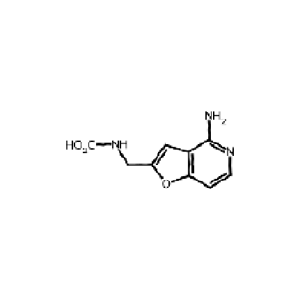 Nc1nccc2oc(CNC(=O)O)cc12